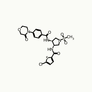 CS(=O)(=O)N1C[C@H](NC(=O)c2ccc(N3CCOCC3=O)cc2)[C@H](NC(=O)c2ccc(Cl)s2)C1